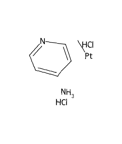 Cl.Cl.N.[CH3][Pt].c1ccncc1